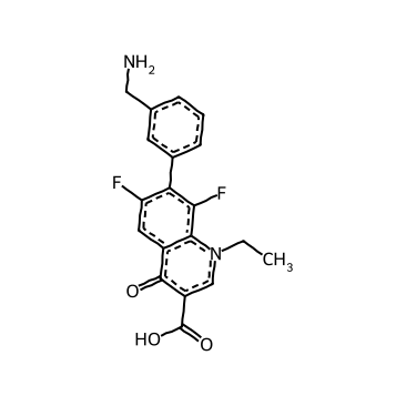 CCn1cc(C(=O)O)c(=O)c2cc(F)c(-c3cccc(CN)c3)c(F)c21